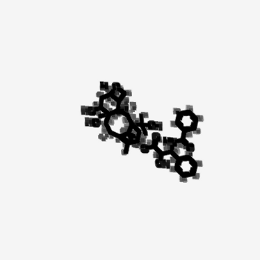 CC1=C2[C@H](C)[C@H](O)[C@@]3(C)[C@H]([C@H](C)[C@](C(C)(C)O)(C[C@@H]1OC(=O)[C@H](O)[C@@H](NC(=O)c1ccccc1)c1ccccc1)C2(C)C)[C@]1(C)CO[C@@H]1C[C@@H]3O